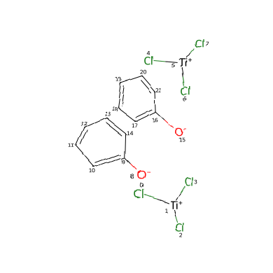 [Cl][Ti+]([Cl])[Cl].[Cl][Ti+]([Cl])[Cl].[O-]c1ccccc1.[O-]c1ccccc1